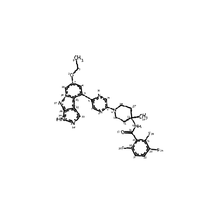 CCOc1cc(-c2cnc(N3CCC(C)(NC(=O)c4c(F)ccc(F)c4F)CC3)cn2)c2c3cn[nH]c3nn2c1